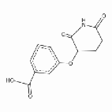 O=C1CCC(Oc2cccc(C(=O)O)c2)C(=O)N1